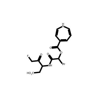 CC(C)C(OC(=O)C1=CC=CNC=C1)C(=O)NC(CC(=O)O)C(=O)CF